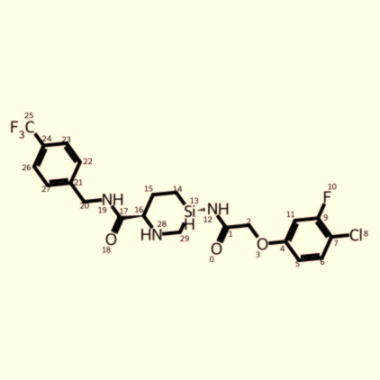 O=C(COc1ccc(Cl)c(F)c1)N[Si@H]1CC[C@H](C(=O)NCc2ccc(C(F)(F)F)cc2)NC1